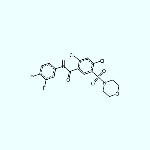 O=C(Nc1ccc(F)c(F)c1)c1cc(S(=O)(=O)N2CCOCC2)c(Cl)cc1Cl